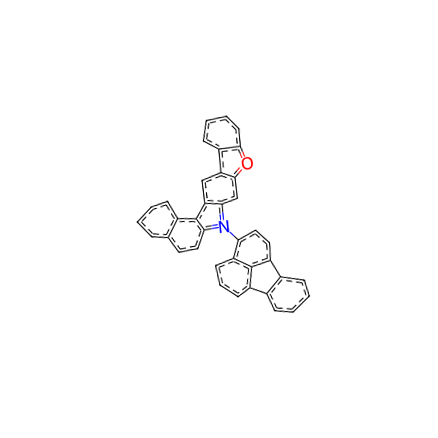 c1ccc2c(c1)-c1cccc3c(-n4c5cc6oc7ccccc7c6cc5c5c6ccccc6ccc54)ccc-2c13